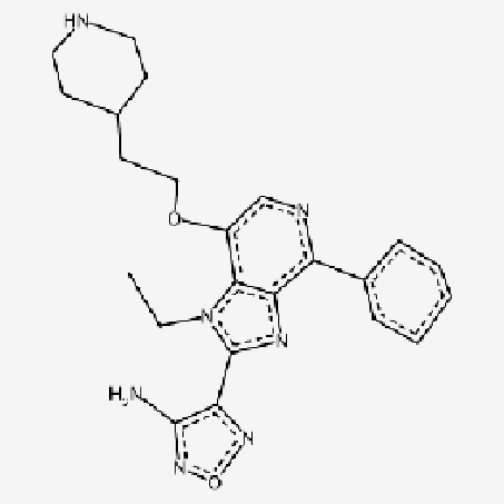 CCn1c(-c2nonc2N)nc2c(-c3ccccc3)ncc(OCCC3CCNCC3)c21